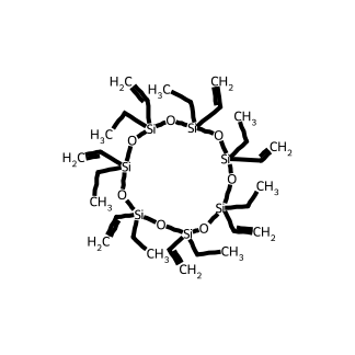 C=C[Si]1(CC)O[Si](C=C)(CC)O[Si](C=C)(CC)O[Si](C=C)(CC)O[Si](C=C)(CC)O[Si](C=C)(CC)O[Si](C=C)(CC)O1